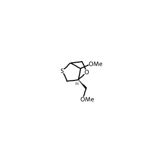 COC[C@]12CSC(CO1)C2OC